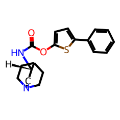 O=C(N[C@H]1CN2CCC1CC2)Oc1ccc(-c2ccccc2)s1